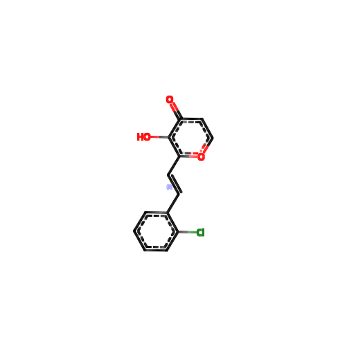 O=c1ccoc(/C=C/c2ccccc2Cl)c1O